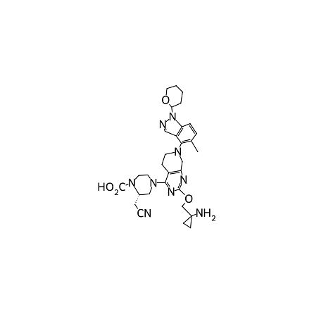 Cc1ccc2c(cnn2C2CCCCO2)c1N1CCc2c(nc(OCC3(N)CC3)nc2N2CCN(C(=O)O)[C@@H](CC#N)C2)C1